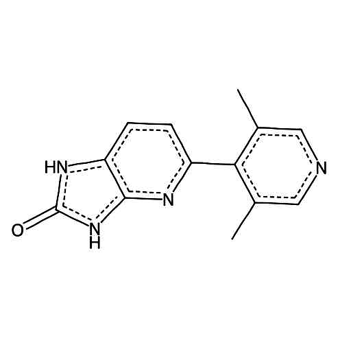 Cc1cncc(C)c1-c1ccc2[nH]c(=O)[nH]c2n1